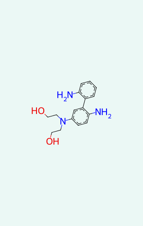 Nc1ccccc1-c1cc(N(CCO)CCO)ccc1N